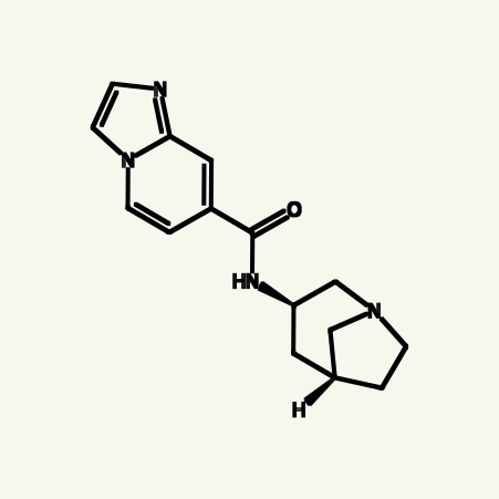 O=C(N[C@@H]1C[C@H]2CCN(C2)C1)c1ccn2ccnc2c1